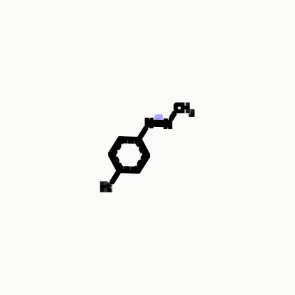 CCc1ccc(/N=N/C)cc1